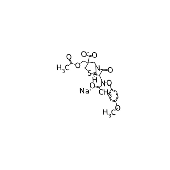 COc1ccc(ON(C(C)=O)C2C(=O)N3CC(COC(C)=O)(C(=O)[O-])CS[C@H]23)cc1.[Na+]